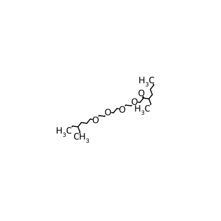 CCCCC(CC)C(=O)COCCOCCOCCOCCCC(CC)CC